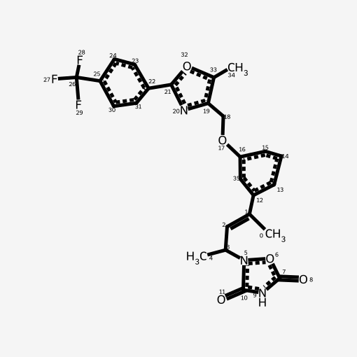 C/C(=C\C(C)n1oc(=O)[nH]c1=O)c1cccc(OCc2nc(-c3ccc(C(F)(F)F)cc3)oc2C)c1